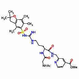 COC(=O)c1ccnc(CNC(=O)[C@H](CCCNC(=N)NS(=O)(=O)c2c(C)c(C)c3c(c2C)CC(C)(C)O3)NC(=O)CNC(C)=O)c1